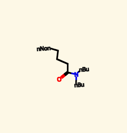 CCCCCCCCCCCCC(=O)N(CCCC)CCCC